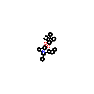 C=CC1=C(C=C)C(c2ccccc2)(c2ccccc2)c2ccc3c(c21)Oc1cc(-c2ccccc2-c2cc(-c4ccccc4)cc(-c4ccc5c(ccc6ccccc65)c4)n2)ccc1O3